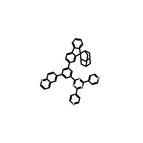 c1ccc2c(c1)-c1ccc(-c3cc(-c4ccc5ncccc5c4)cc(-c4nc(-c5ccncc5)nc(-c5ccncc5)n4)c3)cc1C21C2CC3CC(C2)CC1C3